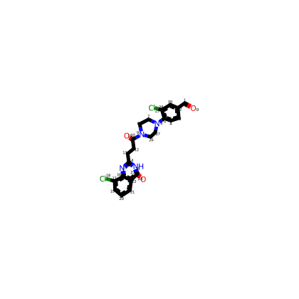 O=Cc1ccc(N2CCN(C(=O)CCc3nc4c(Cl)cccc4c(=O)[nH]3)CC2)c(Cl)c1